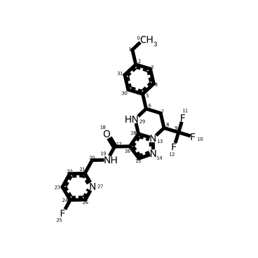 CCc1ccc(C2CC(C(F)(F)F)n3ncc(C(=O)NCc4ccc(F)cn4)c3N2)cc1